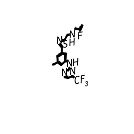 C=C(F)CNCc1ncc(-c2cc(C)cc(Nc3nccc(C(F)(F)F)n3)c2)s1